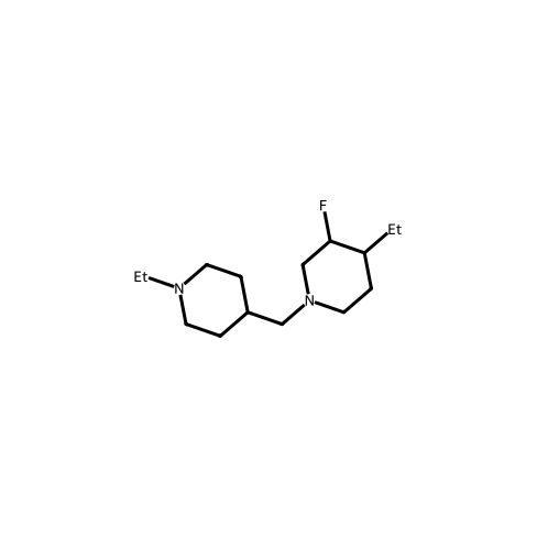 CCC1CCN(CC2CCN(CC)CC2)CC1F